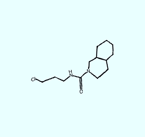 O=C(NCCCCl)N1CCC2CCCCC2C1